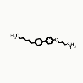 CCCCCCC1CCC(c2ccc(OCCC[SiH2]I)cc2)CC1